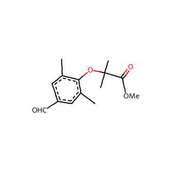 COC(=O)C(C)(C)Oc1c(C)cc(C=O)cc1C